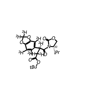 [2H]c1c([2H])c([C@@]([2H])(C(=O)N2C(=O)OC[C@@H]2C(C)C)C([2H])([2H])C(=O)OC(C)(C)C)c([2H])c2c1OC([2H])([2H])O2